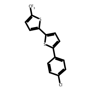 FC(F)(F)c1ccc(-c2ccc(-c3ccc(Cl)cc3)s2)s1